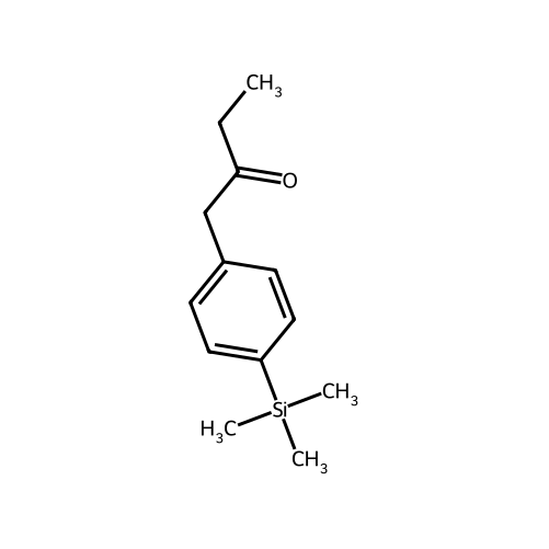 CCC(=O)Cc1ccc([Si](C)(C)C)cc1